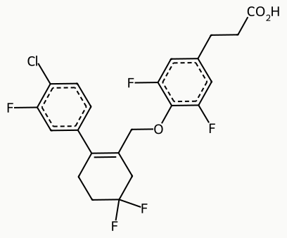 O=C(O)CCc1cc(F)c(OCC2=C(c3ccc(Cl)c(F)c3)CCC(F)(F)C2)c(F)c1